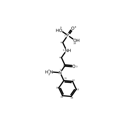 NN(C(=O)CNCP(=O)(O)O)c1ccccc1